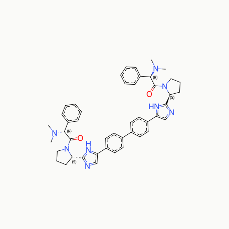 CN(C)[C@@H](C(=O)N1CCC[C@H]1c1ncc(-c2ccc(-c3ccc(-c4cnc([C@@H]5CCCN5C(=O)[C@@H](c5ccccc5)N(C)C)[nH]4)cc3)cc2)[nH]1)c1ccccc1